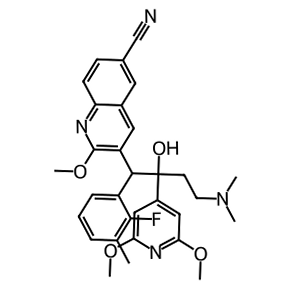 COc1cc(C(O)(CCN(C)C)C(c2cc3cc(C#N)ccc3nc2OC)c2cccc(C)c2F)cc(OC)n1